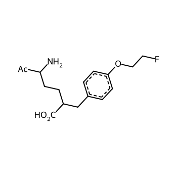 CC(=O)C(N)CCC(Cc1ccc(OCCF)cc1)C(=O)O